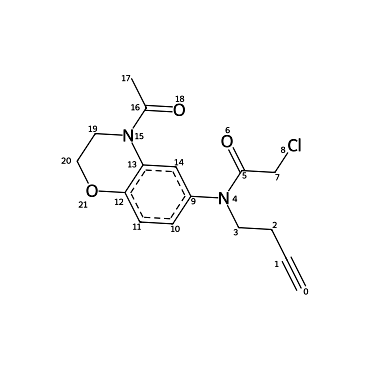 C#CCCN(C(=O)CCl)c1ccc2c(c1)N(C(C)=O)CCO2